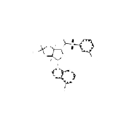 Cc1cccc(S(=O)(=O)C(O)[C@H]2O[C@@H](n3cnc4c(N)ncnc43)[C@@H]3OC(C)(C)O[C@@H]32)c1